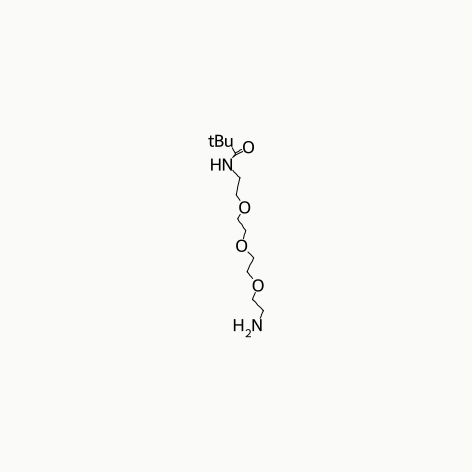 CC(C)(C)C(=O)NCCOCCOCCOCCN